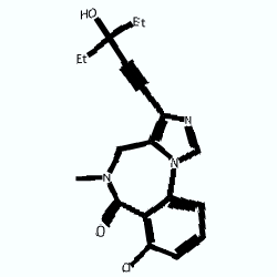 CCC(O)(C#Cc1ncn2c1CN(C)C(=O)c1c(Cl)cccc1-2)CC